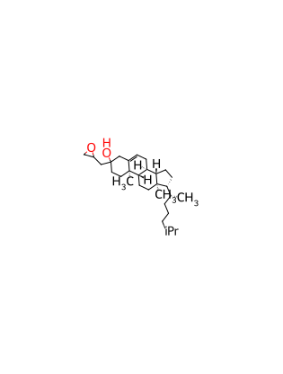 CC(C)CCC[C@@H](C)[C@H]1CC[C@H]2[C@@H]3CC=C4CC(O)(CC5CO5)CC[C@]4(C)[C@H]3CC[C@]12C